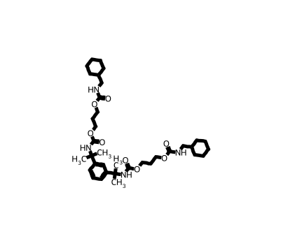 CC(C)(NC(=O)OCCCOC(=O)NCC1CCCCC1)c1cccc(C(C)(C)NC(=O)OCCCOC(=O)NCC2CCCCC2)c1